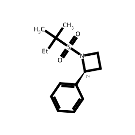 CCC(C)(C)S(=O)(=O)N1CC[C@H]1c1ccccc1